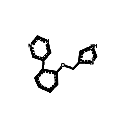 c1ccc(-c2cncnc2)c(OCc2c[nH]cn2)c1